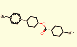 CCCCc1ccc([C@H]2CC[C@H](OC(=O)[C@H]3CC[C@H](CCC)CC3)CC2)cc1